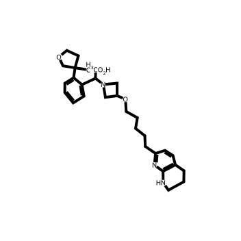 CC1(c2ccccc2C(C(=O)O)N2CC(OCCCCCc3ccc4c(n3)NCCC4)C2)CCOC1